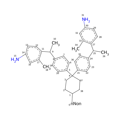 CCCCCCCCCC1CCC(c2ccc(C(C)c3ccc(N)cc3C)cc2)(c2ccc(C(C)c3ccc(N)cc3C)cc2)CC1